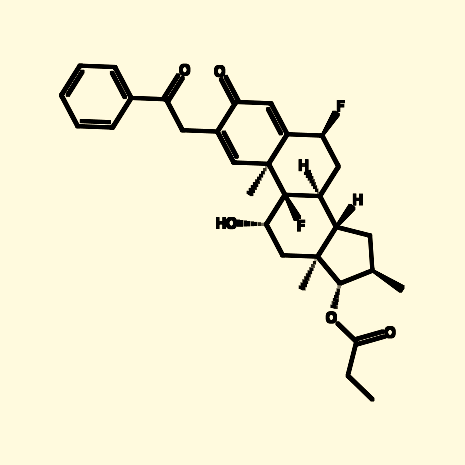 CCC(=O)O[C@H]1[C@H](C)C[C@H]2[C@@H]3C[C@H](F)C4=CC(=O)C(CC(=O)c5ccccc5)=C[C@]4(C)[C@@]3(F)[C@@H](O)C[C@@]21C